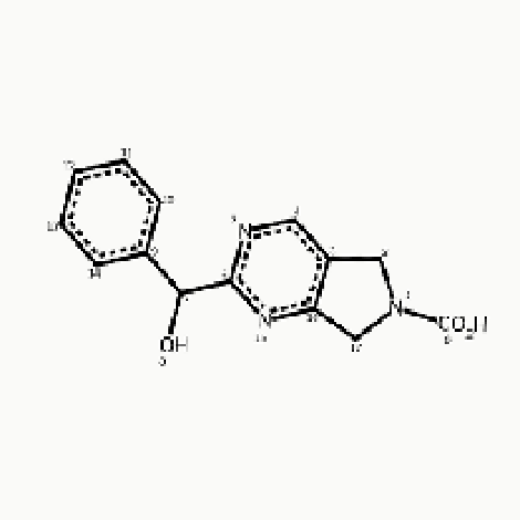 O=C(O)N1Cc2cnc(C(O)c3ccccc3)nc2C1